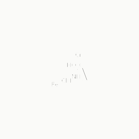 CC(=O)O.Cl.N.[Cr].[Fe]